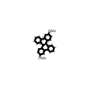 COc1ccc2c(c1)c1ccccc1c1c3ccc(OC)cc3c3ccccc3c21